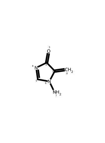 C=C1C(=O)N=CN1N